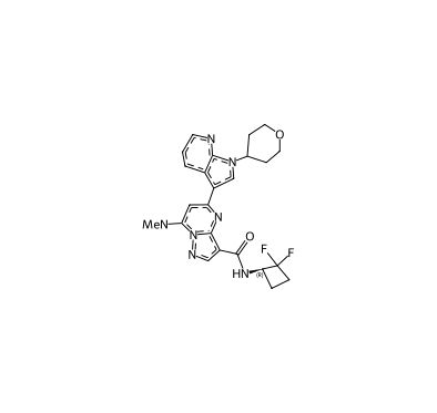 CNc1cc(-c2cn(C3CCOCC3)c3ncccc23)nc2c(C(=O)N[C@@H]3CCC3(F)F)cnn12